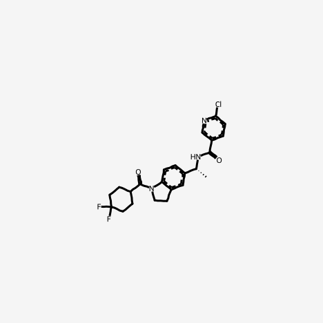 C[C@@H](NC(=O)c1ccc(Cl)nc1)c1ccc2c(c1)CCN2C(=O)C1CCC(F)(F)CC1